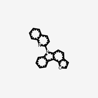 c1ccc2nc(-n3c4ccccc4c4c5occc5ccc43)ccc2c1